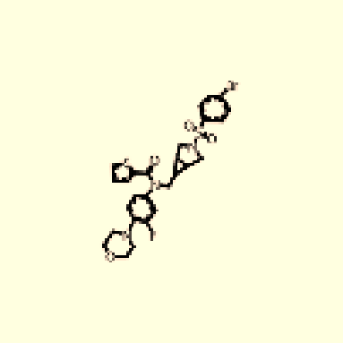 O=C(c1cccs1)N(CC1C2CN(S(=O)(=O)c3ccc(Br)cc3)CC12)c1ccc(N2CCOCC2)c(F)c1